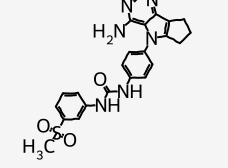 CS(=O)(=O)c1cccc(NC(=O)Nc2ccc(-n3c4c(c5ncnc(N)c53)CCC4)cc2)c1